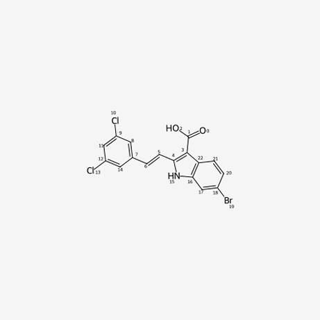 O=C(O)c1c(/C=C/c2cc(Cl)cc(Cl)c2)[nH]c2cc(Br)ccc12